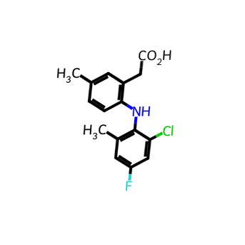 Cc1ccc(Nc2c(C)cc(F)cc2Cl)c(CC(=O)O)c1